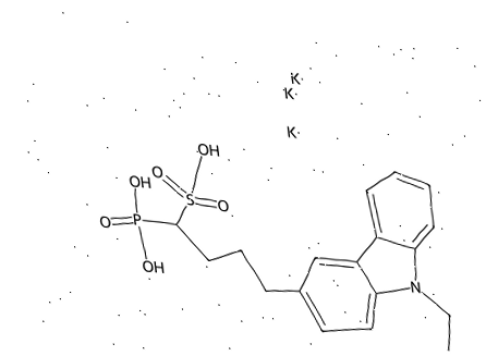 CCn1c2ccccc2c2cc(CCCC(P(=O)(O)O)S(=O)(=O)O)ccc21.[K].[K].[K]